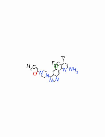 C=CC(=O)N1CCN(c2ncnc3cc(-c4nc(N)cc(C5CC5)c4C(F)(F)F)c(Cl)cc23)CC1